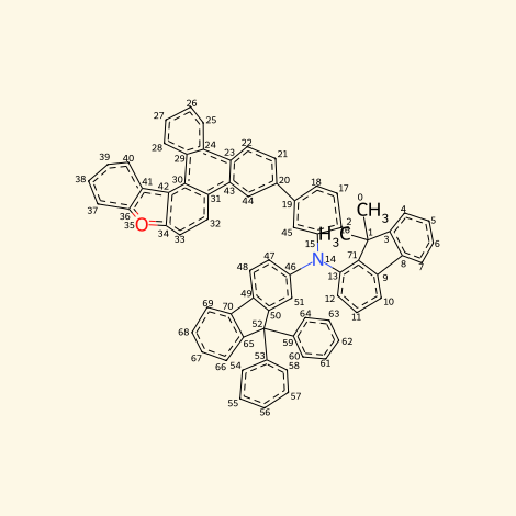 CC1(C)c2ccccc2-c2cccc(N(c3cccc(-c4ccc5c6ccccc6c6c(ccc7oc8ccccc8c76)c5c4)c3)c3ccc4c(c3)C(c3ccccc3)(c3ccccc3)c3ccccc3-4)c21